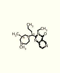 CCC[C@@H](c1nc2ccncc2c(=O)n1CC)N1CCN(C)C[C@@H](C)C1